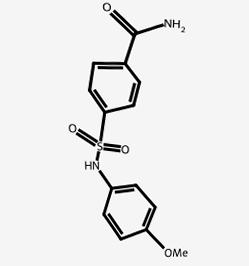 COc1ccc(NS(=O)(=O)c2ccc(C(N)=O)cc2)cc1